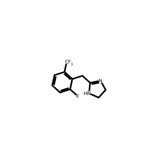 Fc1cccc(C(F)(F)F)c1CC1=NCCN1